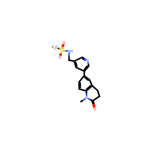 CN1C(=O)CCc2cc(-c3cncc(CNS(=O)(=O)C(F)(F)F)c3)ccc21